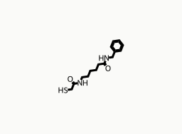 O=C(CS)NCCCCCC(=O)NCc1ccccc1